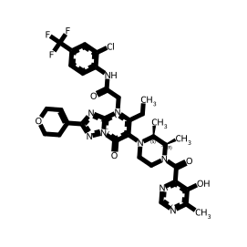 CCc1c(N2CCN(C(=O)c3ncnc(C)c3O)[C@H](C)[C@@H]2C)c(=O)n2nc(C3=CCOCC3)nc2n1CC(=O)Nc1ccc(C(F)(F)F)cc1Cl